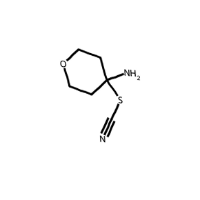 N#CSC1(N)CCOCC1